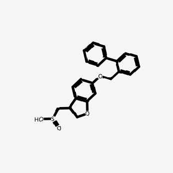 O=S(O)CC1COc2cc(OCc3ccccc3-c3ccccc3)ccc21